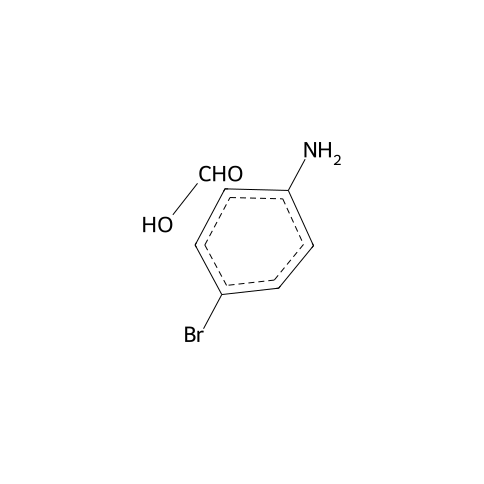 Nc1ccc(Br)cc1.O=CO